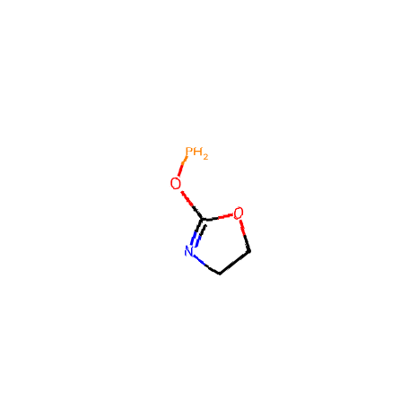 POC1=NCCO1